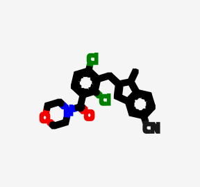 CC1C(Cc2c(Cl)ccc(C(=O)N3CCOCC3)c2Cl)=Cc2cc(C#N)ccc21